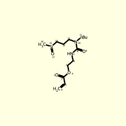 C=CC(=O)OCCNC(=O)N(CCCC)CCC[Si](C)=O